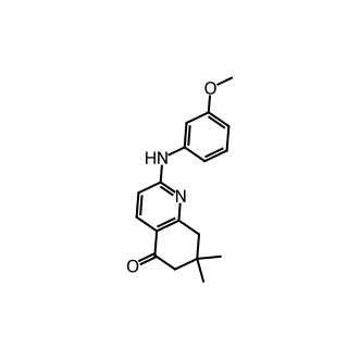 COc1cccc(Nc2ccc3c(n2)CC(C)(C)CC3=O)c1